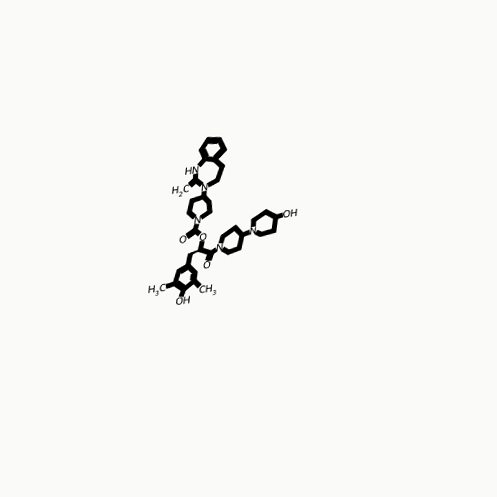 C=C1Nc2ccccc2CCN1C1CCN(C(=O)O[C@H](Cc2cc(C)c(O)c(C)c2)C(=O)N2CCC(N3CCC(O)CC3)CC2)CC1